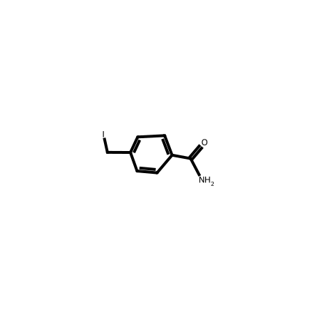 NC(=O)c1ccc(CI)cc1